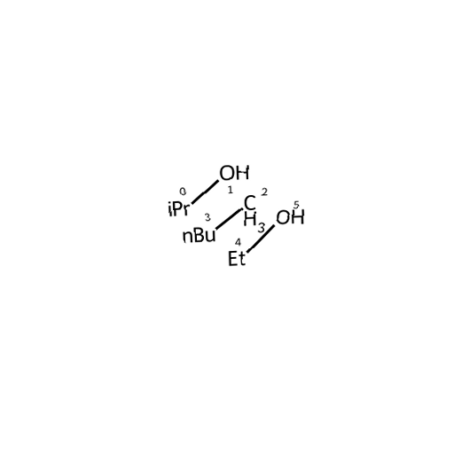 CC(C)O.CCCCC.CCO